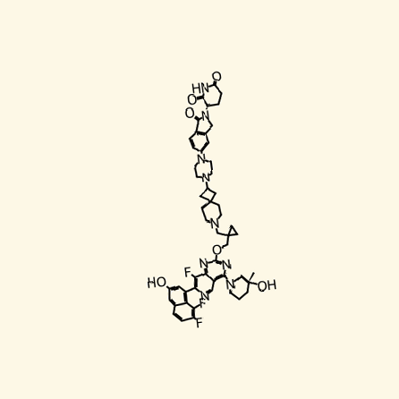 C[C@@]1(O)CCCN(c2nc(OCC3(CN4CCC5(CC4)CC(N4CCN(c6ccc7c(c6)CN([C@H]6CCC(=O)NC6=O)C7=O)CC4)C5)CC3)nc3c(F)c(-c4cc(O)cc5ccc(F)c(F)c45)ncc23)C1